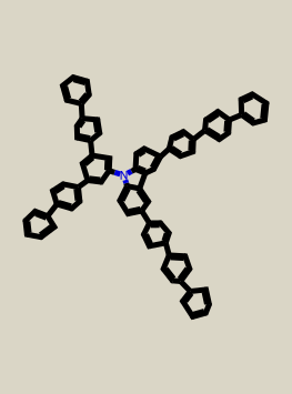 c1ccc(-c2ccc(-c3ccc(-c4ccc5c(c4)c4cc(-c6ccc(-c7ccc(-c8ccccc8)cc7)cc6)ccc4n5-c4cc(-c5ccc(-c6ccccc6)cc5)cc(-c5ccc(-c6ccccc6)cc5)c4)cc3)cc2)cc1